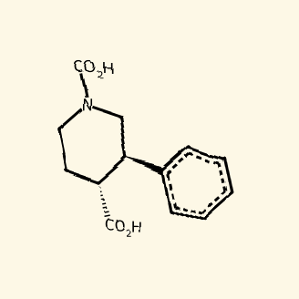 O=C(O)[C@@H]1CCN(C(=O)O)C[C@H]1c1ccccc1